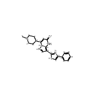 CN1CCC(c2cc(=O)[nH]c3c(-c4nc(-c5ccccc5)cs4)cnn23)CC1